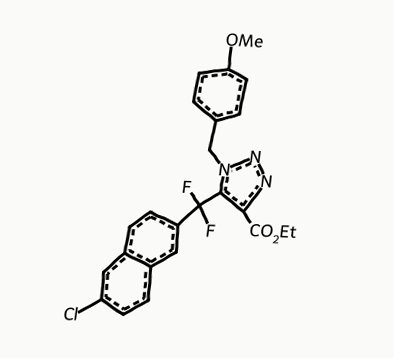 CCOC(=O)c1nnn(Cc2ccc(OC)cc2)c1C(F)(F)c1ccc2cc(Cl)ccc2c1